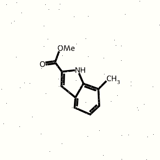 COC(=O)c1cc2cccc(C)c2[nH]1